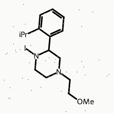 COCCN1CCN(I)C(c2ccccc2C(C)C)C1